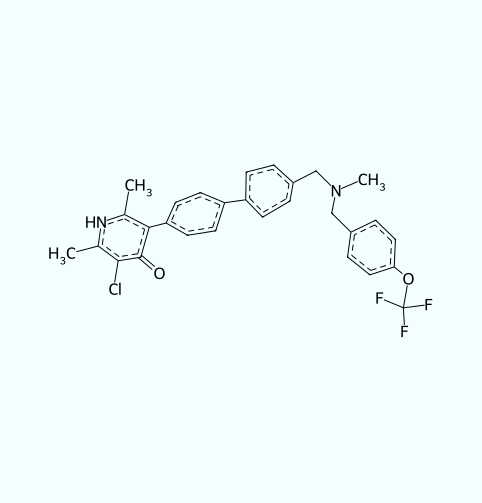 Cc1[nH]c(C)c(-c2ccc(-c3ccc(CN(C)Cc4ccc(OC(F)(F)F)cc4)cc3)cc2)c(=O)c1Cl